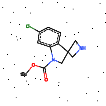 CC(C)(C)OC(=O)N1CC2(CNC2)c2ccc(Cl)cc21